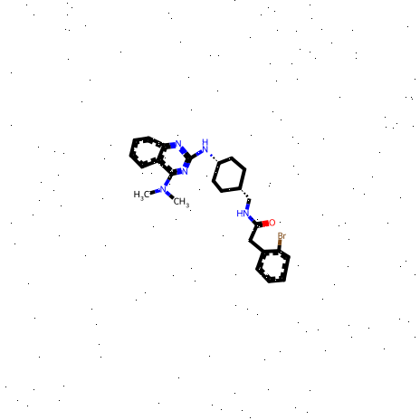 CN(C)c1nc(N[C@H]2CC[C@@H](CNC(=O)Cc3ccccc3Br)CC2)nc2ccccc12